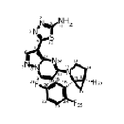 Nc1nnc(-c2cnn3ccc(N4CC[C@H]5C[C@]54c4cc(F)ccc4F)nc23)s1